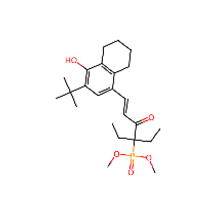 CCC(CC)(C(=O)C=Cc1cc(C(C)(C)C)c(O)c2c1CCCC2)P(=O)(OC)OC